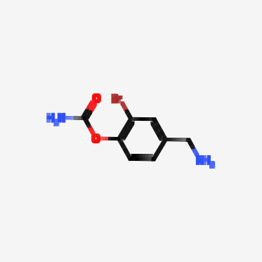 NCc1ccc(OC(N)=O)c(Br)c1